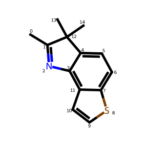 CC1=Nc2c(ccc3sccc23)C1(C)C